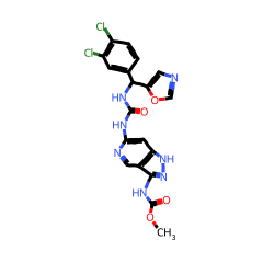 COC(=O)Nc1n[nH]c2cc(NC(=O)NC(c3ccc(Cl)c(Cl)c3)c3cnco3)ncc12